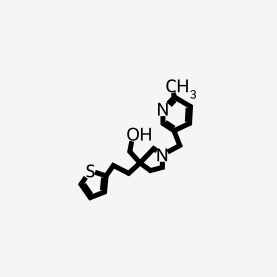 Cc1ccc(CN2CCC(CO)(CCc3cccs3)C2)cn1